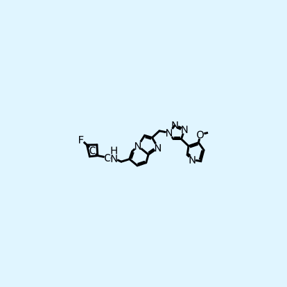 COc1ccncc1-c1cn(Cc2cn3cc(CNCC45CC(F)(C4)C5)ccc3n2)nn1